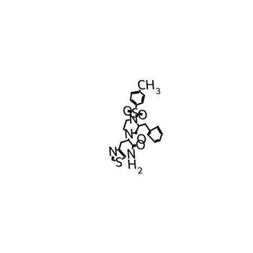 Cc1ccc(S(=O)(=O)N2CCN(C(Cc3cscn3)C(N)=O)C(=O)C2Cc2ccccc2)cc1